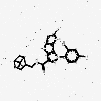 CC1(C)C2CCC(CNC(=O)c3nn(-c4ccc(Cl)cc4Cl)c4c3oc3cc(Cl)sc34)C1C2